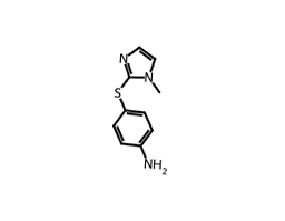 Cn1ccnc1Sc1ccc(N)cc1